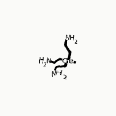 [CH3][Ge]([CH2]CN)([CH2]CN)[CH2]CN